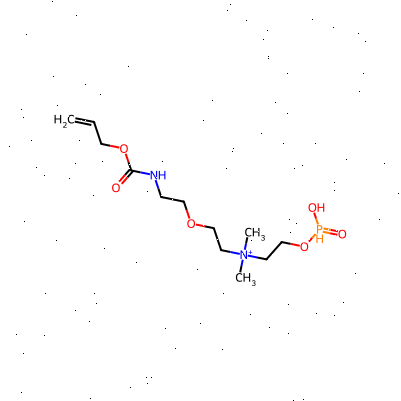 C=CCOC(=O)NCCOCC[N+](C)(C)CCO[PH](=O)O